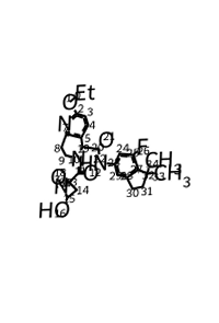 CCOc1ccc2c(n1)CCN(C(=O)C13CC(O)[N@@]1O3)C2C(=O)Nc1cc(F)c2c(c1)CCC2(C)C